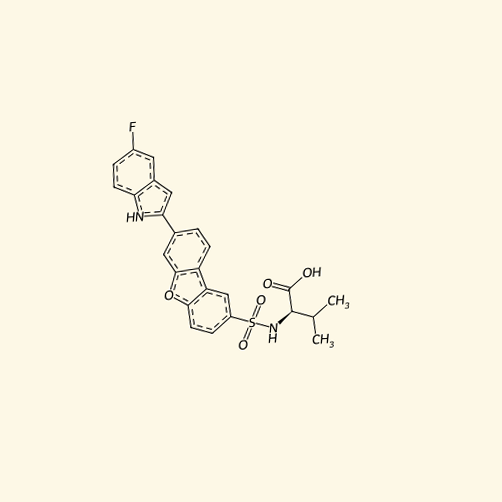 CC(C)[C@@H](NS(=O)(=O)c1ccc2oc3cc(-c4cc5cc(F)ccc5[nH]4)ccc3c2c1)C(=O)O